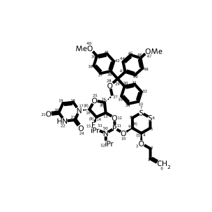 C=CCO[C@@H]1CSSC[C@@H]1OP(OC1[C@@H](F)[C@H](n2ccc(=O)[nH]c2=O)O[C@@H]1COC(c1ccccc1)(c1ccc(OC)cc1)c1ccc(OC)cc1)N(C(C)C)C(C)C